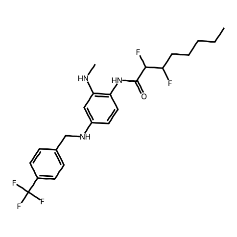 CCCCCC(F)C(F)C(=O)Nc1ccc(NCc2ccc(C(F)(F)F)cc2)cc1NC